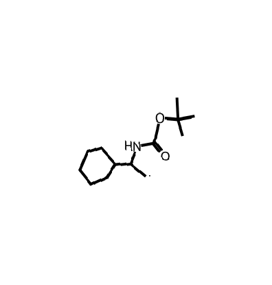 [CH2]C(NC(=O)OC(C)(C)C)C1CCCCC1